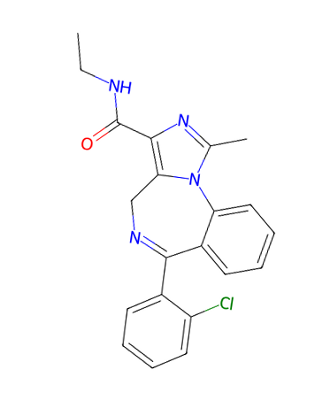 CCNC(=O)c1nc(C)n2c1CN=C(c1ccccc1Cl)c1ccccc1-2